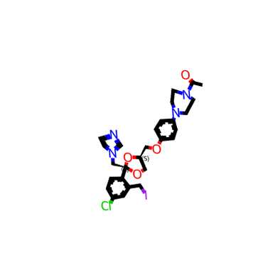 CC(=O)N1CCN(c2ccc(OC[C@H]3CO[C@](Cn4ccnc4)(c4ccc(Cl)cc4CI)O3)cc2)CC1